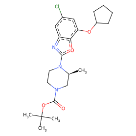 C[C@H]1CN(C(=O)OC(C)(C)C)CCN1c1nc2cc(Cl)cc(OC3CCCC3)c2o1